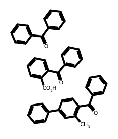 Cc1cc(-c2ccccc2)ccc1C(=O)c1ccccc1.O=C(O)c1ccccc1C(=O)c1ccccc1.O=C(c1ccccc1)c1ccccc1